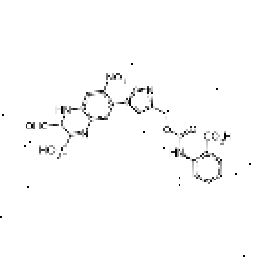 O=CC1Nc2cc([N+](=O)[O-])c(-n3cnc(COC(=O)Nc4ccccc4C(=O)O)c3)cc2N=C1C(=O)O